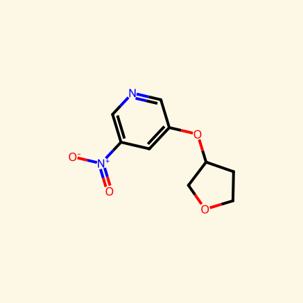 O=[N+]([O-])c1cncc(OC2CCOC2)c1